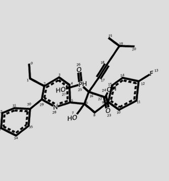 CCc1ccc(C(O)(Cc2ccc(F)cc2)C(C#CC(C)C)(C(=O)O)[PH](=O)O)nc1-c1ccccc1